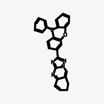 C1=Cc2nc3nc(-c4ccc5c(c4)Oc4ccccc4B5c4ccccc4)nn3cc2CC1